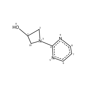 OC1CN(c2ncccn2)C1